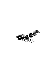 CCOC(=O)c1cn(C2=CCN(C(=O)OC(C)(C)C)CC2)nc1N(C(=O)C1CCC(C)CC1)C(C)C